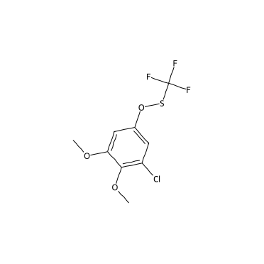 COc1cc(OSC(F)(F)F)cc(Cl)c1OC